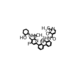 COc1nc(-c2cccc(-c3cccc(NC(=O)c4ccnn(C)c4=O)c3Cl)c2Cl)cc(F)c1CN[C@@H]1CCCC[C@@H]1O